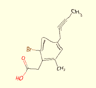 CC#Cc1cc(C)c(CC(=O)O)c(Br)c1